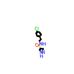 [O-][S+](NCCc1ccc(Cl)cc1)c1cn[nH]c1